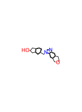 O[C@H]1Cc2ccc(Cn3cnc4cc5c(cc43)COCC5)cc2C1